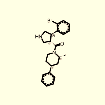 C[C@@H]1C[C@@H](c2ccccc2)CCN1C(=O)[C@@H]1CNC[C@H]1c1ccccc1Br